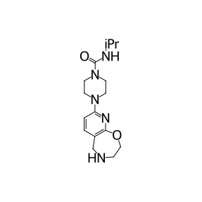 CC(C)NC(=O)N1CCN(c2ccc3c(n2)OCCNC3)CC1